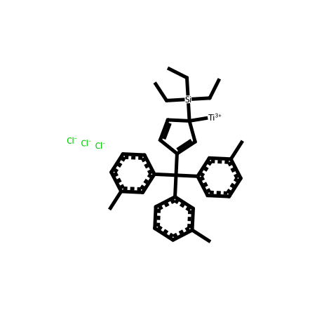 CC[Si](CC)(CC)[C]1([Ti+3])C=CC(C(c2cccc(C)c2)(c2cccc(C)c2)c2cccc(C)c2)=C1.[Cl-].[Cl-].[Cl-]